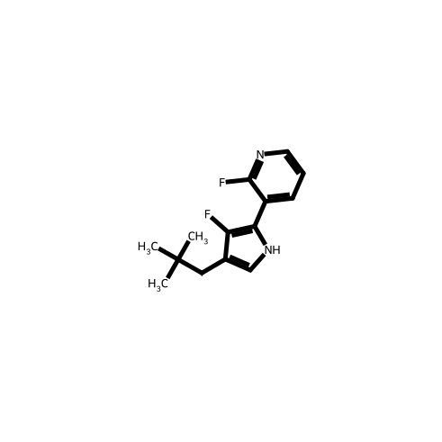 CC(C)(C)[CH]c1c[nH]c(-c2cccnc2F)c1F